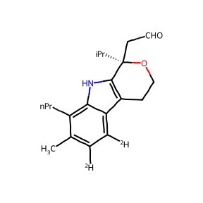 [2H]c1c(C)c(CCC)c2[nH]c3c(c2c1[2H])CCO[C@@]3(CC=O)C(C)C